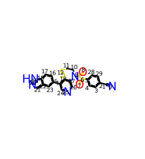 N#Cc1ccc(S(=O)(=O)N2CCSc3c(-c4ccc5[nH]ncc5c4)cncc32)cc1